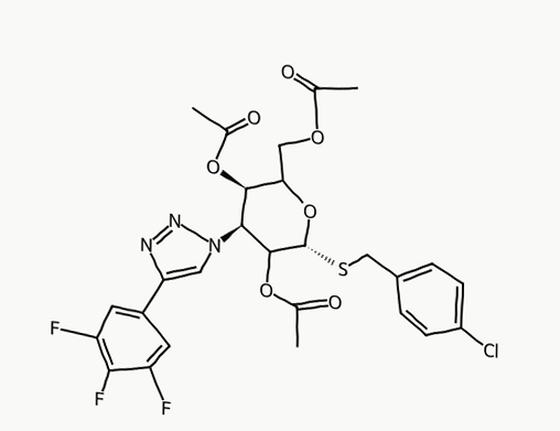 CC(=O)OCC1O[C@H](SCc2ccc(Cl)cc2)C(OC(C)=O)[C@@H](n2cc(-c3cc(F)c(F)c(F)c3)nn2)[C@H]1OC(C)=O